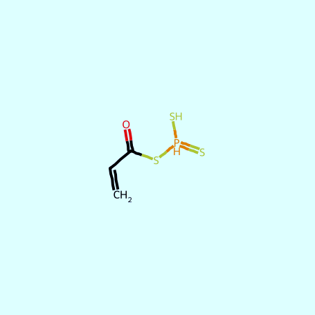 C=CC(=O)S[PH](=S)S